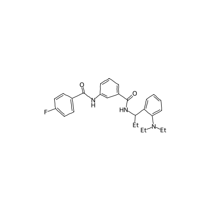 CCC(NC(=O)c1cccc(NC(=O)c2ccc(F)cc2)c1)c1ccccc1N(CC)CC